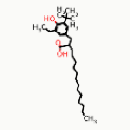 CCCCCCCCCCCCCC(Cc1cc(CC)c(O)c(C(C)(C)C)c1)C(=O)O